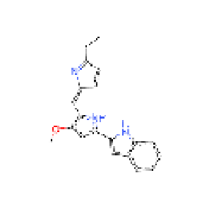 CCC1=NC(=Cc2[nH]c(-c3cc4ccccc4[nH]3)cc2OC)C=C1